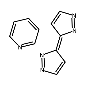 C1=CC(=C2C=CN=N2)N=N1.c1ccncc1